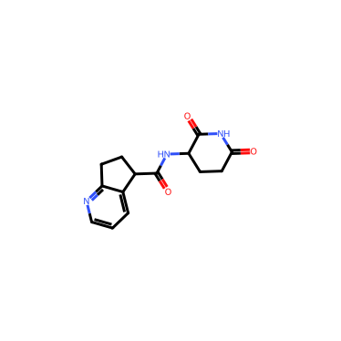 O=C1CCC(NC(=O)C2CCc3ncccc32)C(=O)N1